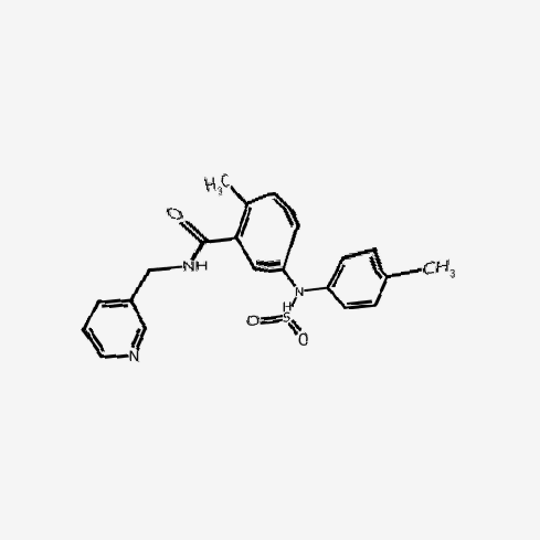 Cc1ccc(N(c2ccc(C)c(C(=O)NCc3cccnc3)c2)[SH](=O)=O)cc1